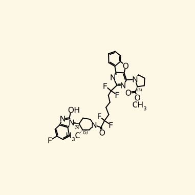 COC(=O)[C@@H]1CCCN1c1nc(C(F)(F)CCCCC(F)(F)C(=O)N2CC[C@H](n3c(O)nc4cc(F)ccc43)[C@@H](C)C2)nc2c1oc1ccccc12